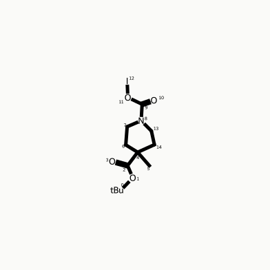 CC(C)(C)OC(=O)C1(C)CCN(C(=O)OI)CC1